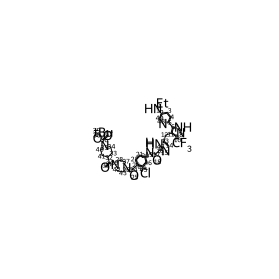 CCNc1ccc(-c2[nH]nc(C(F)(F)F)c2Cc2cnc(C(=O)Nc3ccc(C(=O)N4CCN(C(=O)C5CCN(C(=O)OC(C)(C)C)CC5)CC4)c(Cl)c3)[nH]2)nc1